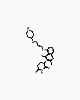 Cc1nc2cccc(OCCCOC3CCNCC3)c2c(=O)n1C1CCC(=O)NC1=O